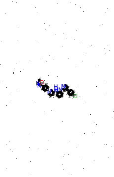 Cc1nnc(-c2ccc(N3CCCC(N[C@@H]4CCCC[C@H]4Nc4cc(-c5ccc(Cl)cc5)ccn4)C3)cc2)o1